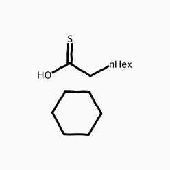 C1CCCCC1.CCCCCCCC(O)=S